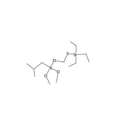 CC[Si](CC)(CC)SCO[Si](CC(C)C)(OC)OC